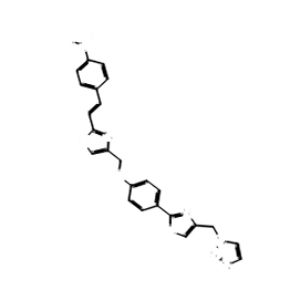 [O-][S+](c1ccc(C=Cc2nc(COc3ccc(-c4nc(Cn5ccnn5)co4)cc3)co2)cc1)C(F)(F)F